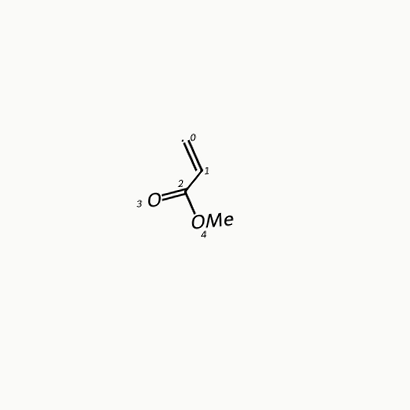 [CH]=CC(=O)OC